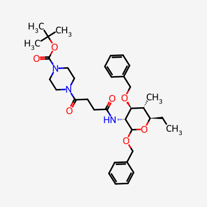 CC[C@H]1OC(OCc2ccccc2)[C@H](NC(=O)CCC(=O)N2CCN(C(=O)OC(C)(C)C)CC2)[C@@H](OCc2ccccc2)[C@@H]1C